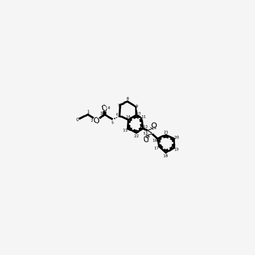 CCOC(=O)C[C@@H]1CCCc2cc(S(=O)(=O)c3ccccc3)ccc21